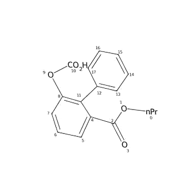 CCCOC(=O)c1cccc(OC(=O)O)c1-c1ccccc1